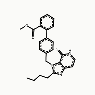 CCCCc1nc2cc[nH]c(=S)c2n1Cc1ccc(-c2ccccc2C(=O)OC)cc1